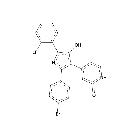 O=c1cc(-c2c(-c3ccc(Br)cc3)nc(-c3ccccc3Cl)n2O)cc[nH]1